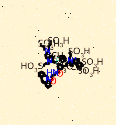 CC1(C)C(/C=C/C2=C(c3ccccc3F)C(=C/C=C3/N(CCCS(=O)(=O)O)c4ccc(N(CCCS(=O)(=O)O)CCCS(=O)(=O)O)cc4C3(C)C)/CC(C(=O)NCCC(=O)N3Cc4ccccc4C#Cc4ccccc43)C2)=[N+](CCCS(=O)(=O)O)c2ccc3c(S(=O)(=O)O)cc(S(=O)(=O)O)cc3c21